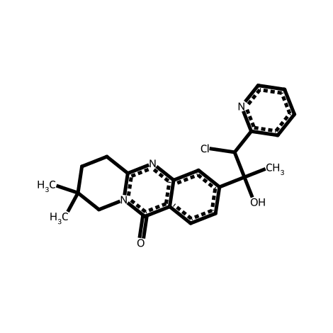 CC1(C)CCc2nc3cc(C(C)(O)C(Cl)c4ccccn4)ccc3c(=O)n2C1